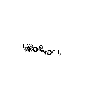 CC1CCN(CCC[S+]([O-])c2ccc(NS(C)(=O)=O)cc2)CC1